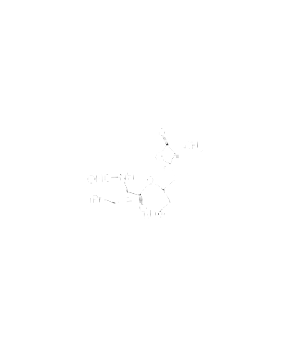 CCCCCCCCCCCC(C[C@@H]1OC(=O)[C@@H]1C)OC(=O)[C@H](CC(C)C)NC=O